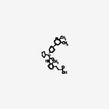 Cc1cc(-c2ccc([C@H](C(=O)Nc3cccc(CCC(=O)O)c3C)C3CCCC3)cc2)cnc1C